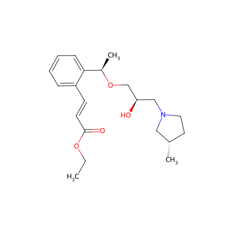 CCOC(=O)/C=C/c1ccccc1[C@@H](C)OC[C@H](O)CN1CC[C@H](C)C1